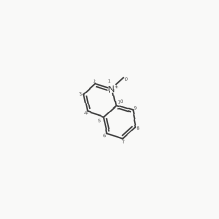 C[n+]1cc[c]c2ccccc21